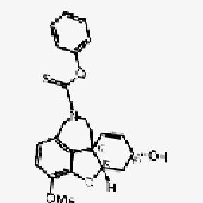 COc1ccc2c3c1O[C@H]1C[C@@H](O)C=C[C@@]31CCN(C(=S)Oc1ccccc1)C2